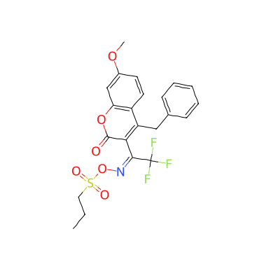 CCCS(=O)(=O)O/N=C(\c1c(Cc2ccccc2)c2ccc(OC)cc2oc1=O)C(F)(F)F